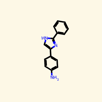 Nc1ccc(-c2c[nH]c(-c3ccccc3)n2)cc1